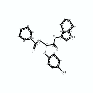 O=C(N[C@@H](Cc1ccc(O)cc1)C(=O)Oc1c[nH]c2ccccc12)c1ccccc1